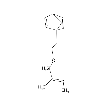 CC=C(C)[SiH2]OCCC12C=CC(C=C1)C2